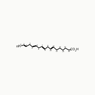 CCC/C=C/C/C=C/C/C=C/C/C=C/CCCCCC(=O)O